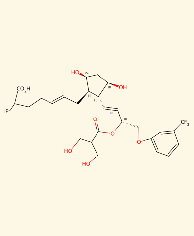 CC(C)C(CCC=CC[C@@H]1[C@@H](/C=C/[C@H](COc2cccc(C(F)(F)F)c2)OC(=O)C(CO)CO)[C@H](O)C[C@@H]1O)C(=O)O